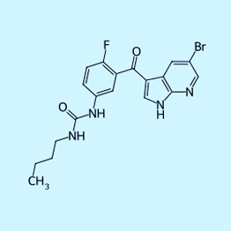 CCCCNC(=O)Nc1ccc(F)c(C(=O)c2c[nH]c3ncc(Br)cc23)c1